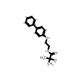 CCC(C)(C)C(=O)OCCOc1ccc(-c2ccccc2)cc1